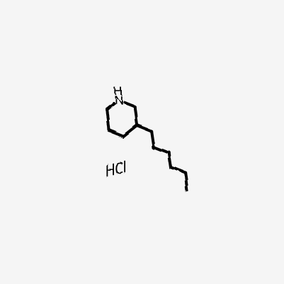 CCCCCCC1CCCNC1.Cl